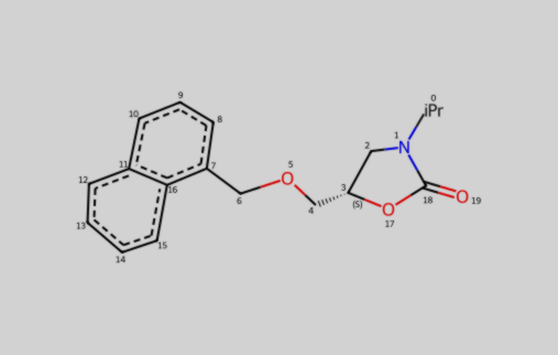 CC(C)N1C[C@@H](COCc2cccc3ccccc23)OC1=O